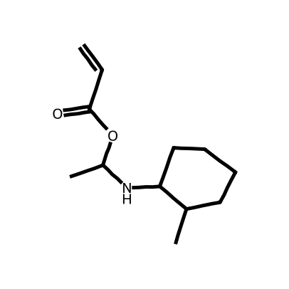 C=CC(=O)OC(C)NC1CCCCC1C